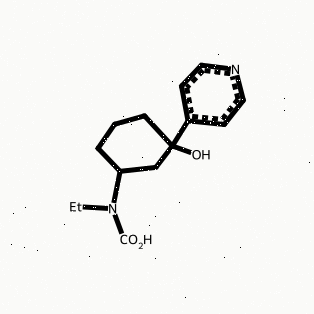 CCN(C(=O)O)C1CCCC(O)(c2ccncc2)C1